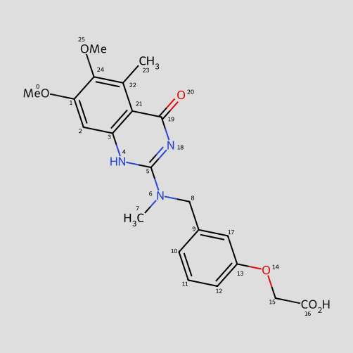 COc1cc2[nH]c(N(C)Cc3cccc(OCC(=O)O)c3)nc(=O)c2c(C)c1OC